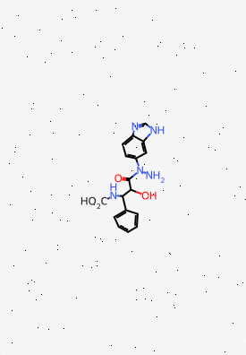 NN(C(=O)C(O)C(NC(=O)O)c1ccccc1)c1ccc2nc[nH]c2c1